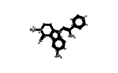 CC(=Cn1c2c(c3cc(C)ccc31)C(=O)N(C)CC2)c1ccncc1